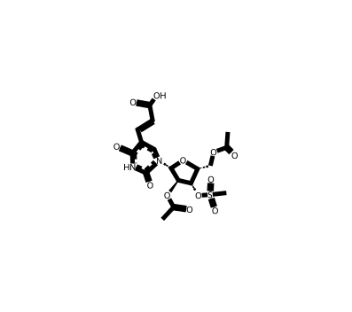 CC(=O)OC[C@H]1O[C@@H](n2cc(/C=C/C(=O)O)c(=O)[nH]c2=O)[C@H](OC(C)=O)[C@H]1OS(C)(=O)=O